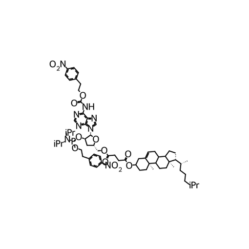 CC(C)CCC[C@@H](C)[C@H]1CCC2C3CC=C4CC(OC(=O)CCC(=O)OC[C@@H]5C[C@@H](OP(OCCc6ccc([N+](=O)[O-])cc6)N(C(C)C)C(C)C)[C@H](n6cnc7c(NC(=O)OCCc8ccc([N+](=O)[O-])cc8)ncnc76)O5)CC[C@]4(C)C3CC[C@@]21C